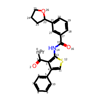 CCCC(=O)c1c(-c2ccccc2)csc1NC(=O)c1cccc(C2CCCO2)c1